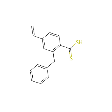 C=Cc1ccc(C(=S)S)c(Cc2ccccc2)c1